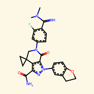 CN(C)C(=N)c1ccc(N2CC3(CC3)c3c(C(N)=O)nn(-c4ccc5c(c4)CCO5)c3C2=O)cc1F